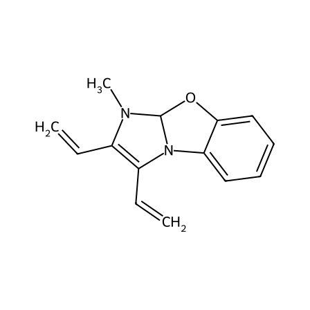 C=CC1=C(C=C)N2c3ccccc3OC2N1C